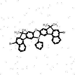 CC1(C)c2cc3c(cc2-c2c1cc(Br)c1ccccc21)N(c1ccccc1)c1cc2c(cc1O3)C(C)(C)c1cc(Br)c3ccccc3c1-2